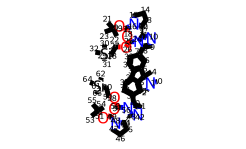 CN(C)C1(C)c2cc(-c3cnc([C@@H]4CCCN4C(=O)OC(C)(C)C)n3COCC[Si](C)(C)C)ccc2-c2ccc(-c3cnc([C@@H]4CCCN4C(=O)OC(C)(C)C)n3COCC[Si](C)(C)C)cc21